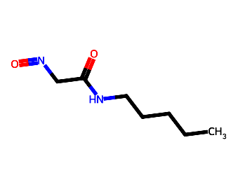 CCCCCNC(=O)CN=O